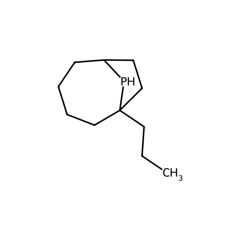 CCCC12CCCCC(CC1)P2